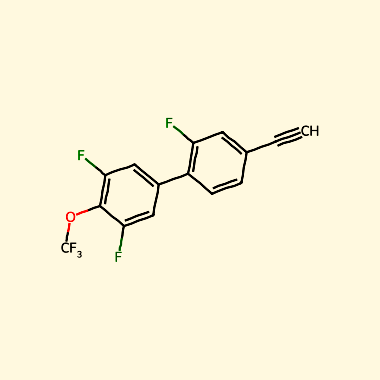 C#Cc1ccc(-c2cc(F)c(OC(F)(F)F)c(F)c2)c(F)c1